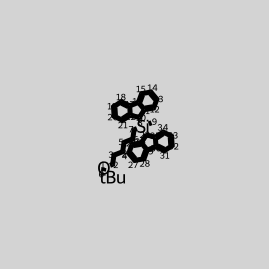 CC(C)(C)OCCCCCC[Si](C)(C1c2ccccc2-c2ccccc21)C1c2ccccc2-c2ccccc21